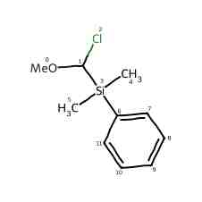 COC(Cl)[Si](C)(C)c1ccccc1